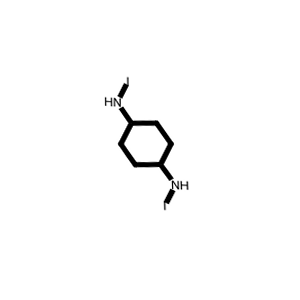 INC1CCC(NI)CC1